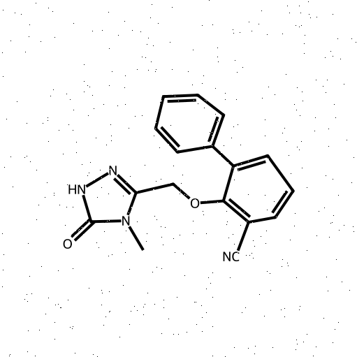 Cn1c(COc2c(C#N)cccc2-c2ccccc2)n[nH]c1=O